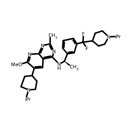 COc1nc2nc(C)nc(N[C@H](C)c3cccc(C(F)(F)C4CCN(C(C)C)CC4)c3)c2cc1C1CCN(C(C)C)CC1